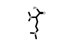 CC(C)C(=O)C(CCCN(C)C)N(C)C